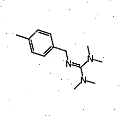 Cc1ccc(CN=C(N(C)C)N(C)C)cc1